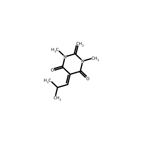 C=c1n(C)c(=O)c(=CC(C)C)c(=O)n1C